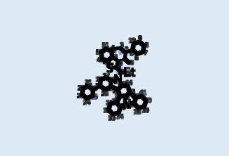 C=C(/C(=C\C)c1ccccc1)[C@@H]1/C(=C(\CC)n2c3ccc(-c4ccccc4)cc3c3c4c5ccccc5n5c6ccccc6c(cc32)c45)Sc2ccccc21